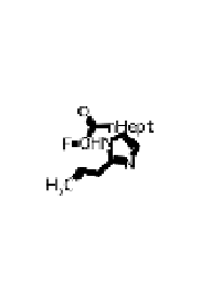 C=CCc1ncc[nH]1.CCCCCCCC(=O)OF